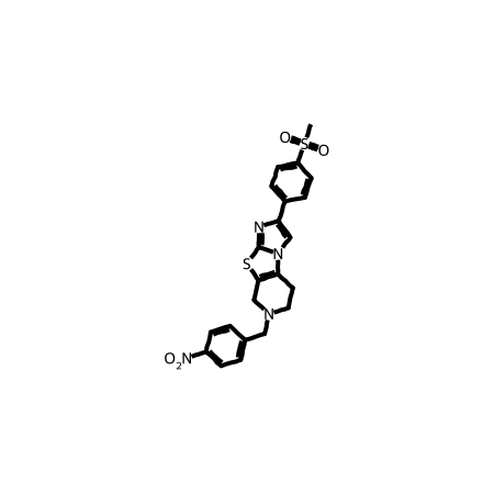 CS(=O)(=O)c1ccc(-c2cn3c4c(sc3n2)CN(Cc2ccc([N+](=O)[O-])cc2)CC4)cc1